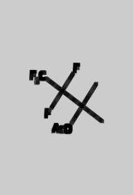 CC(=O)OC(C)(C)C(F)(F)C(F)(F)F